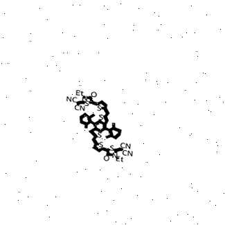 CCn1c(=C(C#N)C#N)s/c(=c2/cc/c(=C/c3cc4c(-c5c(C)cccc5C)c5sc(/C=c6/cc/c(=c7/sc(=C(C#N)C#N)n(CC)c7=O)s6)cc5c(-c5c(C)cccc5C)c4s3)s2)c1=O